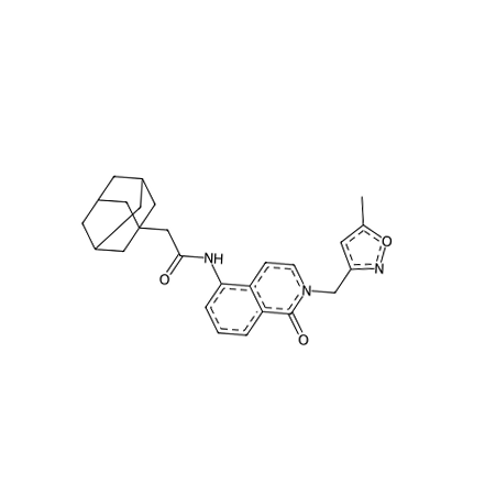 Cc1cc(Cn2ccc3c(NC(=O)CC45CC6CC(CC(C6)C4)C5)cccc3c2=O)no1